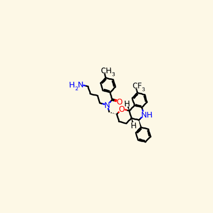 Cc1ccc(C(=O)N(CCCCN)C[C@H]2CC[C@@H]3[C@H](O2)c2cc(C(F)(F)F)ccc2N[C@H]3c2ccccc2)cc1